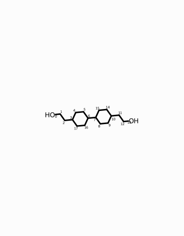 OCCC1CCC(C2CCC(CCO)CC2)CC1